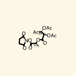 CC(=O)O[C@@H](C(C)=O)[C@@H](OC(C)=O)C(=O)O[C@@H](C)C(=O)ON1C(=O)CCC1=O